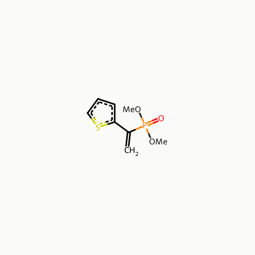 C=C(c1cccs1)P(=O)(OC)OC